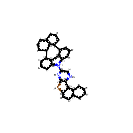 c1cc2c3c(cccc3c1)-c1cccc3c1c1c-2cccc1n3-c1cnc2c(n1)sc1ccc3ccccc3c12